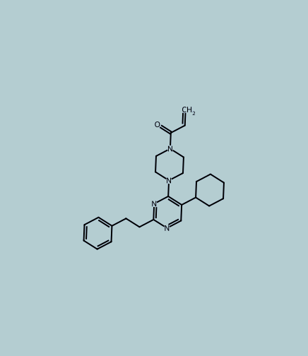 C=CC(=O)N1CCN(c2nc(CCc3ccccc3)ncc2C2CCCCC2)CC1